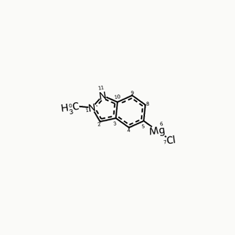 Cn1cc2c[c]([Mg][Cl])ccc2n1